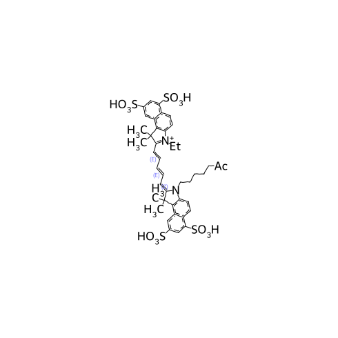 CC[N+]1=C(/C=C/C=C/C=C2\N(CCCCCC(C)=O)c3ccc4c(S(=O)(=O)O)cc(S(=O)(=O)O)cc4c3C2(C)C)C(C)(C)c2c1ccc1c(S(=O)(=O)O)cc(S(=O)(=O)O)cc21